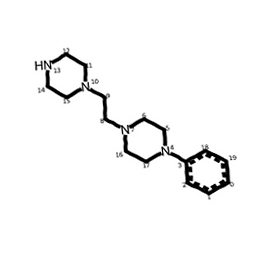 c1ccc(N2CCN(CCN3CCNCC3)CC2)cc1